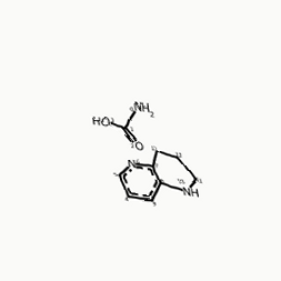 NC(=O)O.c1cnc2c(c1)NCCC2